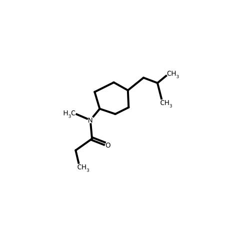 CCC(=O)N(C)C1CCC(CC(C)C)CC1